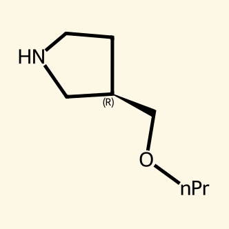 CCCOC[C@@H]1CCNC1